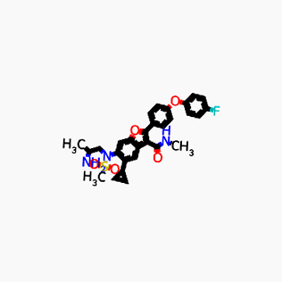 CNC(=O)c1c(-c2ccc(Oc3ccc(F)cc3)cc2)oc2cc(N(CC(C)N)S(C)(=O)=O)c(C3CC3)cc12